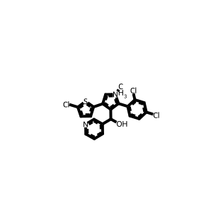 Cn1cc(-c2ccc(Cl)s2)c(C(O)c2cccnc2)c1-c1ccc(Cl)cc1Cl